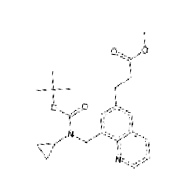 COC(=O)CCc1cc(CN(C(=O)OC(C)(C)C)C2CC2)c2ncccc2c1